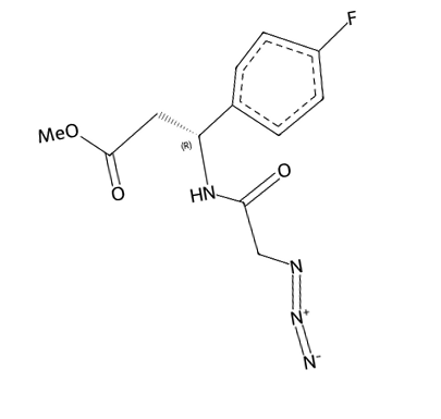 COC(=O)C[C@@H](NC(=O)CN=[N+]=[N-])c1ccc(F)cc1